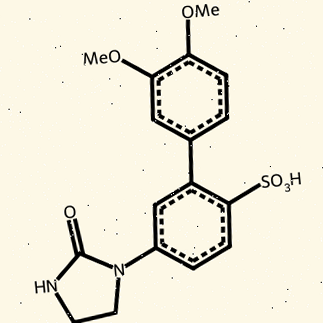 COc1ccc(-c2cc(N3CCNC3=O)ccc2S(=O)(=O)O)cc1OC